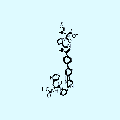 COCN[C@H](C(=O)N1CCCC1c1ncc(-c2ccc(-c3ccc(-c4cnc([C@@H]5CCCN5C(=O)[C@H](Cc5cscn5)NC(=O)O)[nH]4)cc3)cc2)[nH]1)[C@@H](C)OC